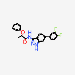 CC(Oc1ccccc1)C(=O)Nc1n[nH]c2cc(-c3ccc(F)c(F)c3)ccc12